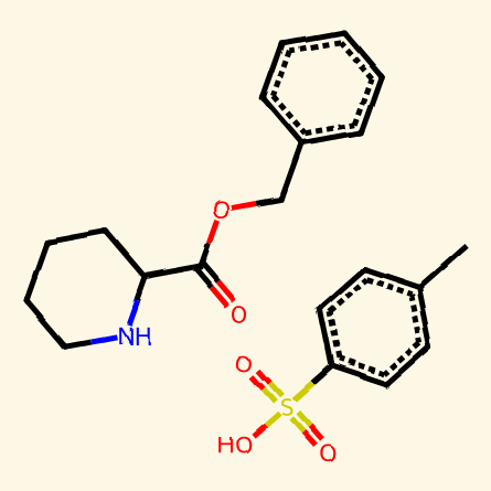 Cc1ccc(S(=O)(=O)O)cc1.O=C(OCc1ccccc1)C1CCCCN1